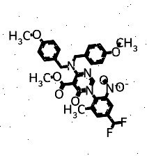 COC(=O)c1c(N(Cc2ccc(OC)cc2)Cc2ccc(OC)cc2)ncn(-c2c(C)cc(C(F)F)cc2[N+](=O)[O-])c1=O